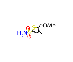 COCc1sc(S(N)(=O)=O)cc1C